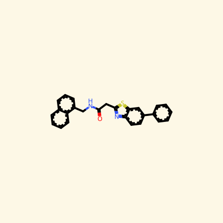 O=C(Cc1nc2ccc(-c3ccccc3)cc2s1)NCc1cccc2ccccc12